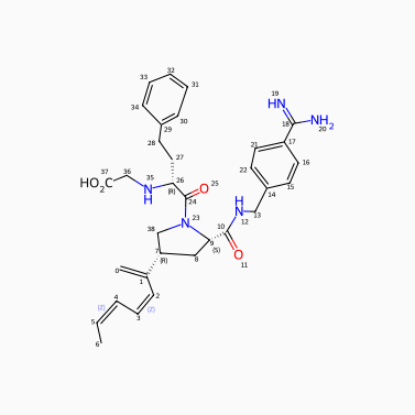 C=C(/C=C\C=C/C)[C@H]1C[C@@H](C(=O)NCc2ccc(C(=N)N)cc2)N(C(=O)[C@@H](CCc2ccccc2)NCC(=O)O)C1